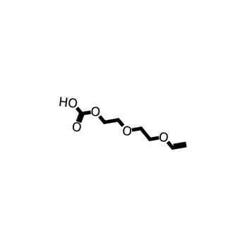 C=COCCOCCOC(=O)O